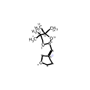 CC1(C)OB(/C=C2/CCOC2)OC1(C)C